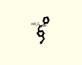 C#CCc1ccc(C[C@H](Nc2ccccc2)C(=O)O)cc1